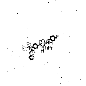 CCCC(NC(=O)c1ccc2c(c1)nc(Cc1cccs1)n2C(CC)CC)C(=O)NCc1ccc(F)cc1